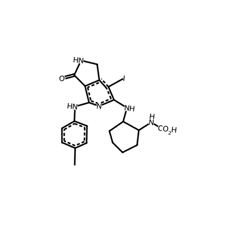 Cc1ccc(Nc2nc(NC3CCCCC3NC(=O)O)c(I)c3c2C(=O)NC3)cc1